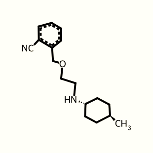 C[C@H]1CC[C@H](NCCOCc2ccccc2C#N)CC1